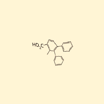 Cc1c(C(=O)O)ccc(-c2ccccc2)c1-c1ccccc1